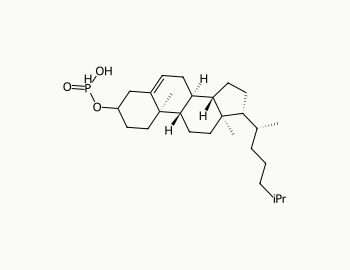 CC(C)CCC[C@@H](C)[C@H]1CC[C@H]2[C@@H]3CC=C4CC(O[PH](=O)O)CC[C@]4(C)[C@H]3CC[C@]12C